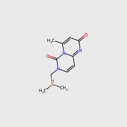 Cc1cc(=O)nc2ccn(C[SH](C)C)c(=O)n12